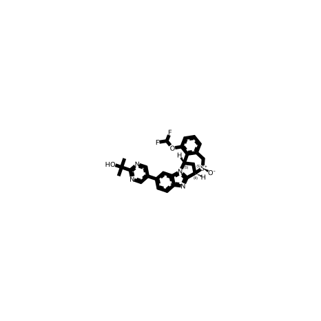 CC(C)(O)c1ncc(-c2ccc3nc4n(c3c2)[C@H]2C[C@H]4[S@+]([O-])Cc3cccc(OC(F)F)c32)cn1